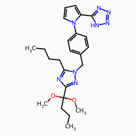 CCCCc1nc(C(CCC)(OC)OC)nn1Cc1ccc(-n2cccc2-c2nnn[nH]2)cc1